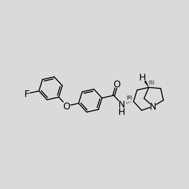 O=C(N[C@@H]1C[C@@H]2CCN(C2)C1)c1ccc(Oc2cccc(F)c2)cc1